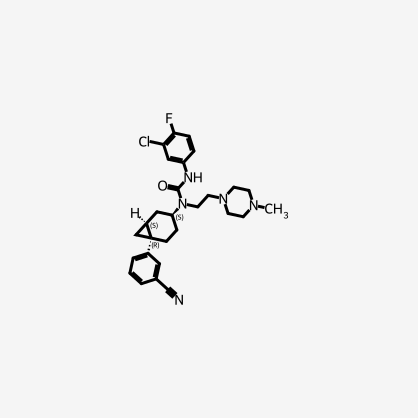 CN1CCN(CCN(C(=O)Nc2ccc(F)c(Cl)c2)[C@H]2CC[C@@]3(c4cccc(C#N)c4)C[C@H]3C2)CC1